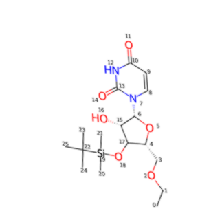 CCOC[C@H]1O[C@@H](n2ccc(=O)[nH]c2=O)[C@@H](O)C1O[Si](C)(C)C(C)(C)C